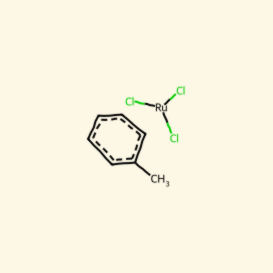 Cc1ccccc1.[Cl][Ru]([Cl])[Cl]